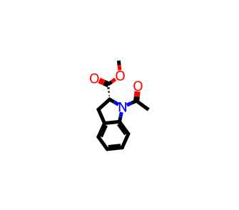 COC(=O)[C@H]1Cc2ccccc2N1C(C)=O